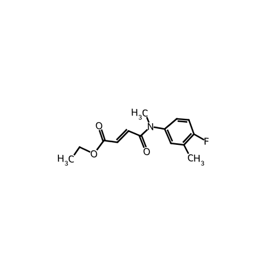 CCOC(=O)/C=C/C(=O)N(C)c1ccc(F)c(C)c1